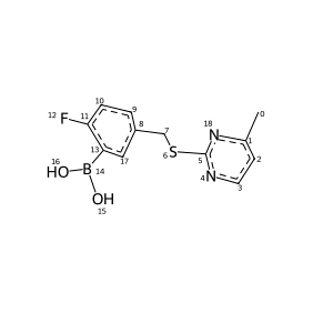 Cc1ccnc(SCc2ccc(F)c(B(O)O)c2)n1